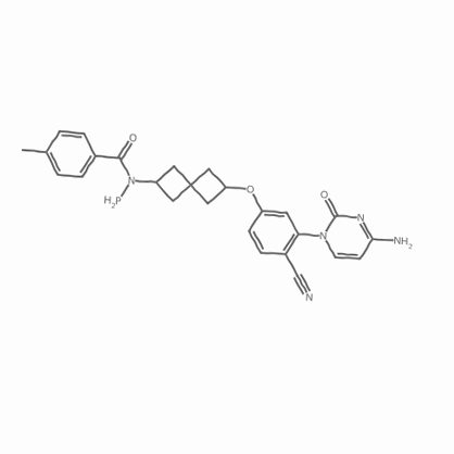 Cc1ccc(C(=O)N(P)C2CC3(CC(Oc4ccc(C#N)c(-n5ccc(N)nc5=O)c4)C3)C2)cc1